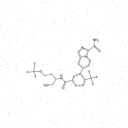 NC(=O)c1ncc2cc(-c3cc(C(=O)NC(CO)CCOC(F)(F)F)ccc3C(F)(F)F)ccn12